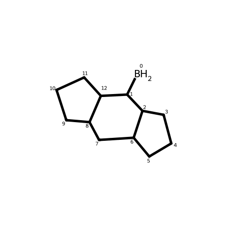 BC1C2CCCC2CC2CCCC21